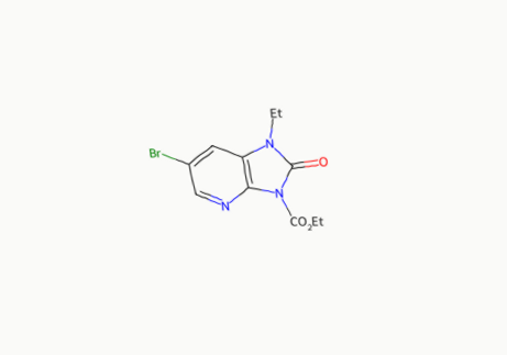 CCOC(=O)n1c(=O)n(CC)c2cc(Br)cnc21